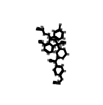 CNCc1ccc(C(=O)N2CCCC(C(O)(CCCCOC)c3cccc(Cl)c3Cc3cccc(C)c3)C2)cc1